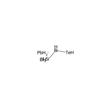 [LiH].[PbH2].[SiH3][BiH][TeH]